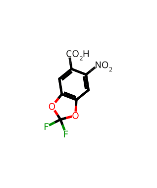 O=C(O)c1cc2c(cc1[N+](=O)[O-])OC(F)(F)O2